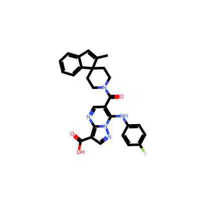 CC1=Cc2ccccc2C12CCN(C(=O)c1cnc3c(C(=O)O)cnn3c1Nc1ccc(F)cc1)CC2